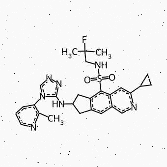 Cc1ncccc1-n1cnnc1NC1Cc2cc3cnc(C4CC4)cc3c(S(=O)(=O)NCC(C)(C)F)c2C1